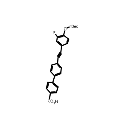 CCCCCCCCCCOc1ccc(C#Cc2ccc(-c3ccc(C(=O)O)cc3)cc2)cc1F